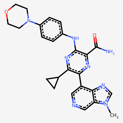 Cn1cnc2c(-c3nc(C(N)=O)c(Nc4ccc(N5CCOCC5)cc4)nc3C3CC3)cncc21